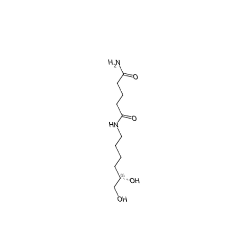 NC(=O)CCCC(=O)NCCCC[C@H](O)CO